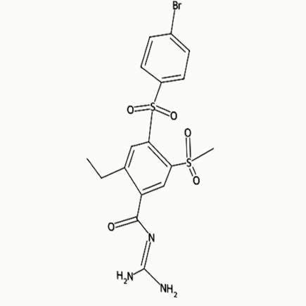 CCc1cc(S(=O)(=O)c2ccc(Br)cc2)c(S(C)(=O)=O)cc1C(=O)N=C(N)N